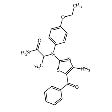 CCOc1ccc(N(c2nc(N)c(C(=O)c3ccccc3)s2)C(C)C(N)=O)cc1